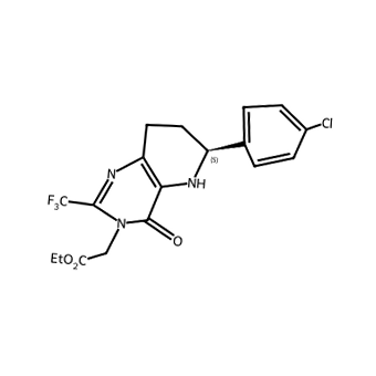 CCOC(=O)Cn1c(C(F)(F)F)nc2c(c1=O)N[C@H](c1ccc(Cl)cc1)CC2